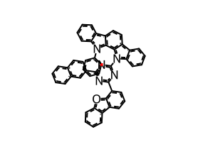 c1ccc(-n2c3ccccc3c3ccc4c5ccccc5n(-c5nc(-c6ccc7ccccc7c6)nc(-c6cccc7c6oc6ccccc67)n5)c4c32)cc1